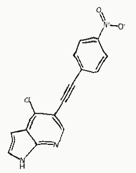 O=[N+]([O-])c1ccc(C#Cc2cnc3[nH]ccc3c2Cl)cc1